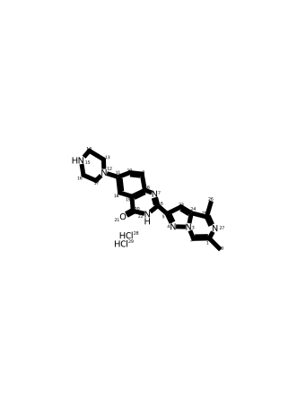 Cc1cn2nc(-c3nc4ccc(N5CCNCC5)cc4c(=O)[nH]3)cc2c(C)n1.Cl.Cl